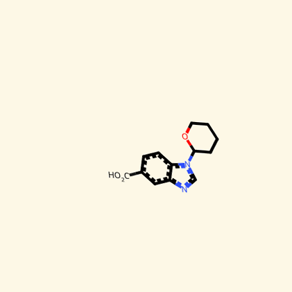 O=C(O)c1ccc2c(c1)ncn2C1CCCCO1